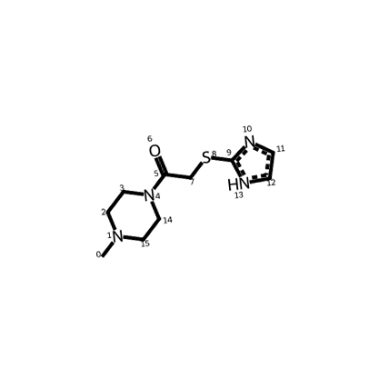 CN1CCN(C(=O)CSc2ncc[nH]2)CC1